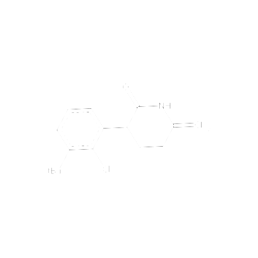 C=C1CCC(c2cccc(C(C)(C)C)c2Cl)C(=O)N1